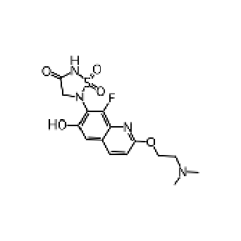 CN(C)CCOc1ccc2cc(O)c(N3CC(=O)NS3(=O)=O)c(F)c2n1